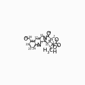 CC[C@@]1(O)C(=O)OCc2c1cc1n(c2=O)Cc2cc3c(C=O)cccc3nc2-1